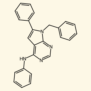 c1ccc(Cn2c(-c3ccccc3)cc3c(Nc4ccccc4)ncnc32)cc1